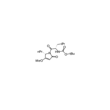 CCC[C@H]1C(OC)=CC(=O)N1C(=O)[C@H](CC(C)C)NC(=O)OC(C)(C)C